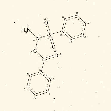 NN(OC(=O)c1ccccc1)S(=O)(=O)c1ccccc1